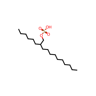 CCCCCCCCCCC(CCCCCC)COS(=O)(=O)O